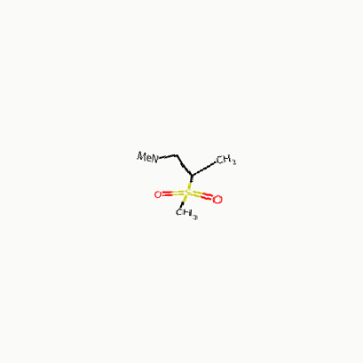 CNCC(C)S(C)(=O)=O